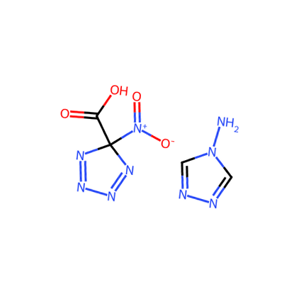 Nn1cnnc1.O=C(O)C1([N+](=O)[O-])N=NN=N1